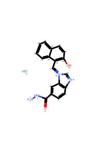 Cl.NNC(=O)c1ccc2c(c1)[N+](=Cc1c(O)ccc3ccccc13)C=N2